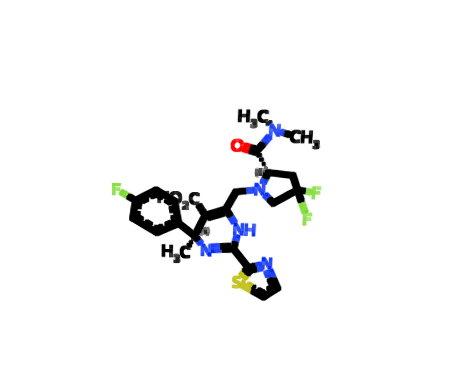 CN(C)C(=O)[C@@H]1CC(F)(F)CN1CC1=C(C(=O)O)[C@](C)(c2ccc(F)cc2)N=C(c2nccs2)N1